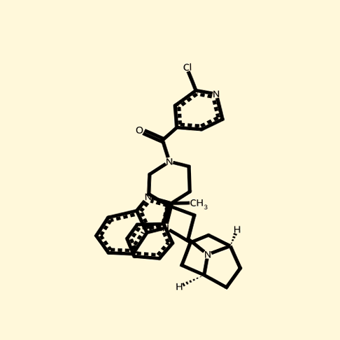 Cc1nc2ccccc2n1C1C[C@H]2CC[C@@H](C1)N2CCC1(c2ccccc2)CCN(C(=O)c2ccnc(Cl)c2)CC1